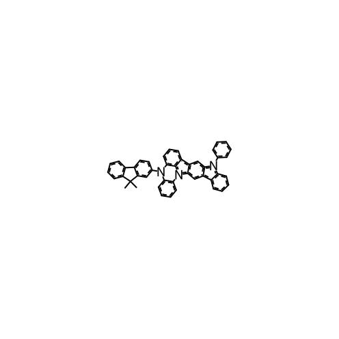 CC1(C)c2ccccc2-c2ccc(N3c4ccccc4-n4c5cc6c7ccccc7n(-c7ccccc7)c6cc5c5cccc3c54)cc21